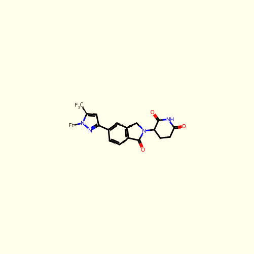 CCn1nc(-c2ccc3c(c2)CN(C2CCC(=O)NC2=O)C3=O)cc1C(F)(F)F